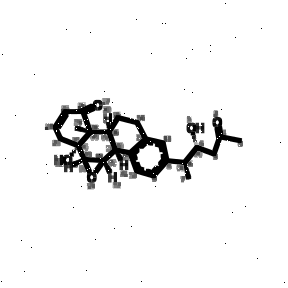 CC(=O)C[C@@H](O)[C@@H](C)c1ccc2c(c1)CC[C@H]1[C@H]2[C@@H]2O[C@@H]2[C@@]2(O)CC=CC(=O)[C@]12C